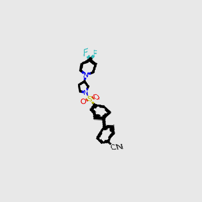 N#Cc1ccc(-c2ccc(S(=O)(=O)N3CCC(N4CCC(F)(F)CC4)C3)cc2)cc1